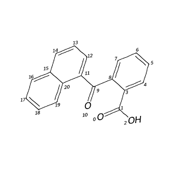 O=C(O)c1ccccc1C(=O)c1cccc2ccccc12